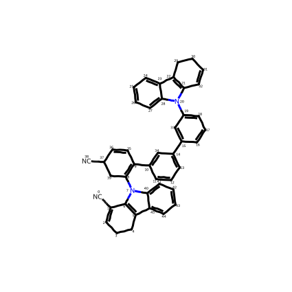 N#CC1=CCCc2c1n(C1=C(c3cccc(-c4cccc(-n5c6c(c7ccccc75)CCC=C6)c4)c3)C=CC(C#N)C1)c1ccccc21